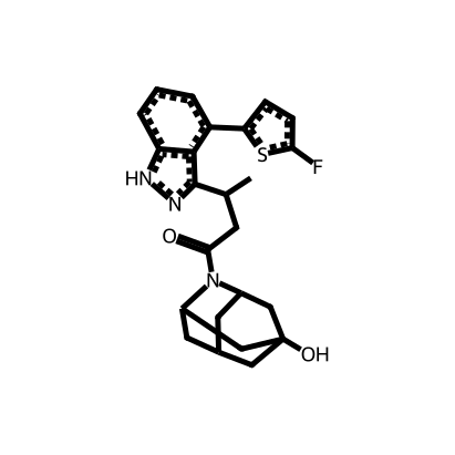 CC(CC(=O)N1C2CC3CC1CC(O)(C3)C2)c1n[nH]c2cccc(-c3ccc(F)s3)c12